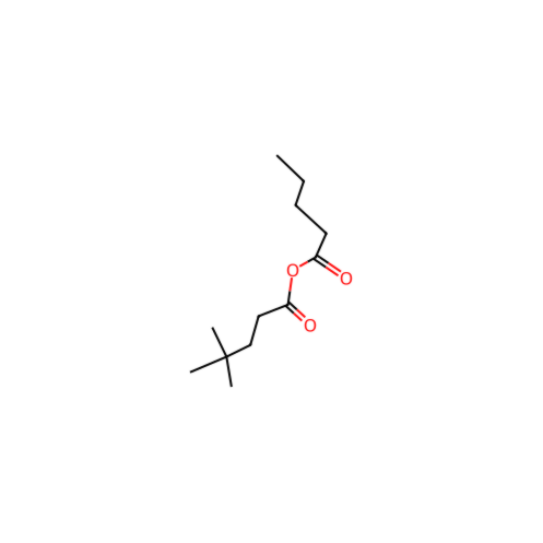 CCCCC(=O)OC(=O)CCC(C)(C)C